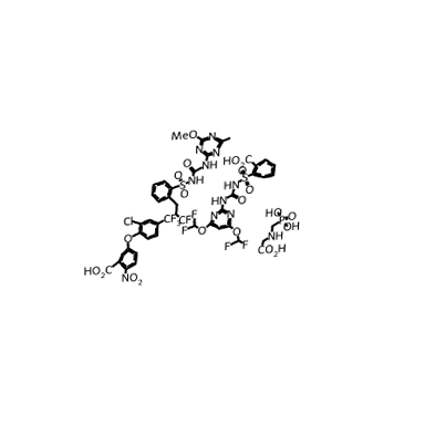 COc1nc(C)nc(NC(=O)NS(=O)(=O)c2ccccc2CCC(F)(F)F)n1.O=C(Nc1nc(OC(F)F)cc(OC(F)F)n1)NS(=O)(=O)c1ccccc1C(=O)O.O=C(O)CNCP(=O)(O)O.O=C(O)c1cc(Oc2ccc(C(F)(F)F)cc2Cl)ccc1[N+](=O)[O-]